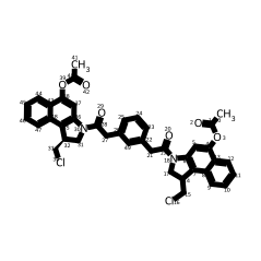 CC(=O)Oc1cc2c(c3ccccc13)C(CCl)CN2C(=O)Cc1cccc(CC(=O)N2C[C@@H](CCl)c3c2cc(OC(C)=O)c2ccccc32)c1